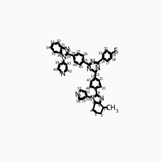 CC1CC=Cc2c1nc(-c1ccc(-c3nc(-c4ccc(F)cc4)nc(-c4ccc(-c5nc6ccccc6n5-c5ccncc5)cc4)n3)cc1)n2-c1ccncc1